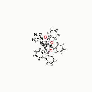 C[Si](C)(C)O[Si](C)(O[Si](C)(O[Si](C)(c1ccccc1)c1ccccc1)c1ccccc1)c1ccccc1